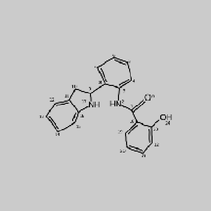 O=C(Nc1ccccc1C1Cc2ccccc2N1)c1ccccc1O